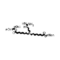 CCCCCCCCCOC(=O)CCCCCCCN(CCCCCCCC(=O)OC(CCCCCCCC)CCCCCCCC)CCCNC(=N)N